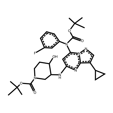 CC(C)(C)OC(=O)N1CCC(O)C(Nc2cc(N(C(=O)OC(C)(C)C)c3cccc(F)c3)n3ncc(C4CC4)c3n2)C1